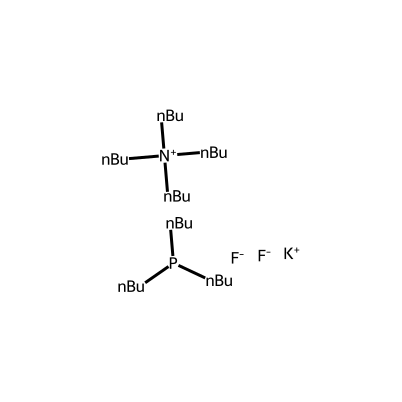 CCCCP(CCCC)CCCC.CCCC[N+](CCCC)(CCCC)CCCC.[F-].[F-].[K+]